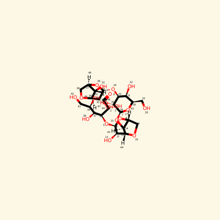 O=C[C@H](O)[C@@H](O[C@H]1O[C@@H]2CO[C@H]([C@H]1O)[C@H]2O[C@@H]1O[C@H](CO)[C@H](O)[C@H](O[C@H]2O[C@@H]3CO[C@@H]([C@H]3O)[C@H]2O)[C@H]1O)[C@@H](O)[C@H](O)CO